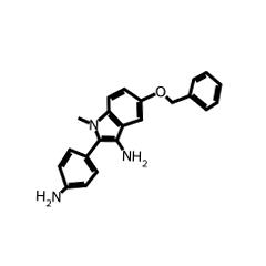 Cn1c(-c2ccc(N)cc2)c(N)c2cc(OCc3ccccc3)ccc21